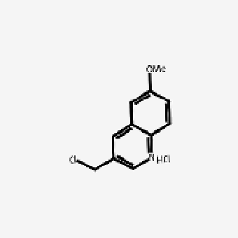 COc1ccc2ncc(CCl)cc2c1.Cl